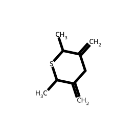 C=C1CC(=C)C(C)SC1C